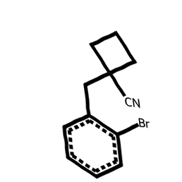 N#CC1(Cc2ccccc2Br)CCC1